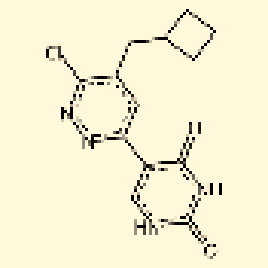 O=c1[nH]cc(-c2cc(CC3CCC3)c(Cl)nn2)c(=O)[nH]1